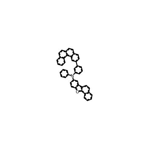 c1ccc(N(c2cccc(-c3ccc4ccc5ccc6ccccc6c5c4c3)c2)c2ccc3oc4c5ccccc5ccc4c3c2)cc1